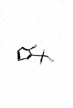 CCOC(=O)C(F)(F)c1ccccc1F